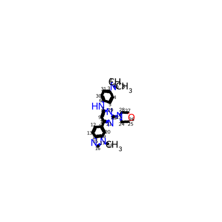 CN(C)c1ccc(Nc2cc(-c3ccc4ncn(C)c4c3)nc(N3CCOCC3)n2)cc1